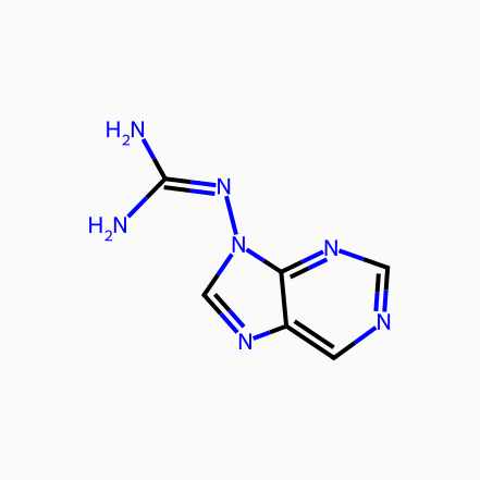 NC(N)=Nn1cnc2cncnc21